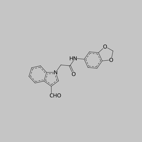 O=Cc1cn(CC(=O)Nc2ccc3c(c2)OCO3)c2ccccc12